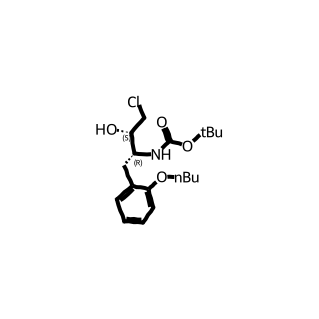 CCCCOc1ccccc1C[C@@H](NC(=O)OC(C)(C)C)[C@H](O)CCl